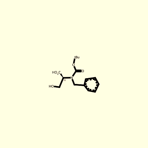 CC(C)(C)OC(=O)N(Cc1ccccc1)[C@@H](CO)C(=O)O